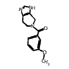 COc1cccc(C(=O)N2CCc3nc[nH]c3C2)c1